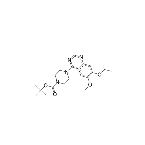 CCOc1cc2ncnc(N3CCN(C(=O)OC(C)(C)C)CC3)c2cc1OC